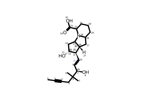 CC#CCC(C)(C)[C@H](O)/C=C/[C@H]1[C@H](O)CC2[C@@H]1CC1CCCC(C(=O)O)N12